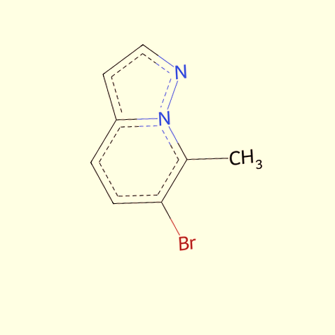 Cc1c(Br)ccc2ccnn12